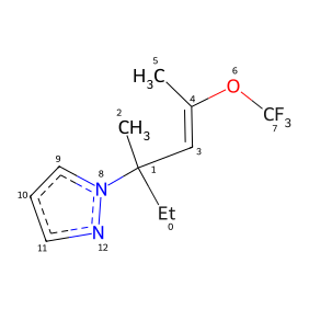 CCC(C)(/C=C(\C)OC(F)(F)F)n1cccn1